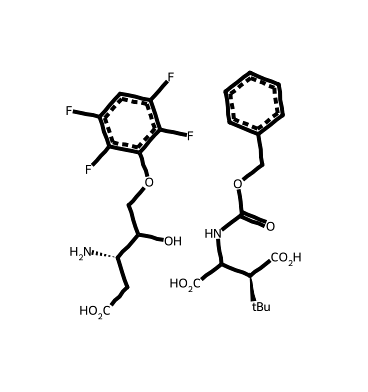 CC(C)(C)[C@H](C(=O)O)C(NC(=O)OCc1ccccc1)C(=O)O.N[C@@H](CC(=O)O)C(O)COc1c(F)c(F)cc(F)c1F